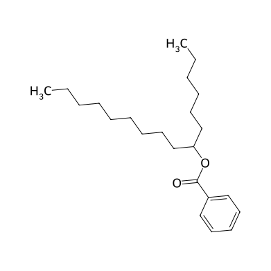 CCCCCCCCCC(CCCCCC)OC(=O)c1ccccc1